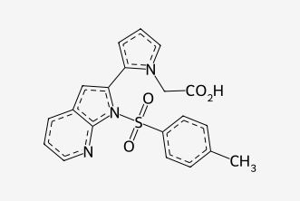 Cc1ccc(S(=O)(=O)n2c(-c3cccn3CC(=O)O)cc3cccnc32)cc1